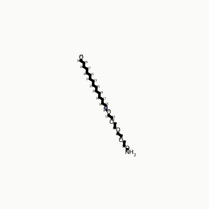 NOCCOCCOCCOCCO/N=C/CCCCCCCCCCCCCCC=O